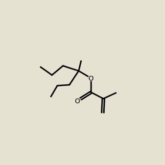 C=C(C)C(=O)OC(C)(CCC)CCC